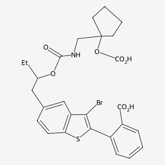 CCC(Cc1ccc2sc(-c3ccccc3C(=O)O)c(Br)c2c1)OC(=O)NCC1(OC(=O)O)CCCC1